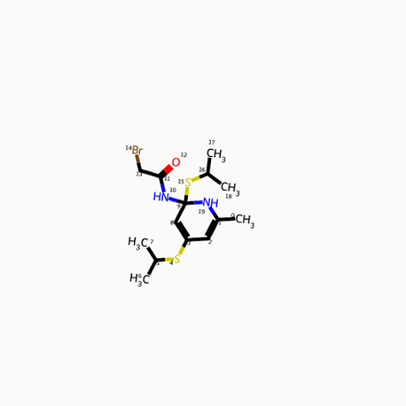 CC1=CC(SC(C)C)=CC(NC(=O)CBr)(SC(C)C)N1